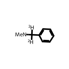 [2H]C([2H])(NC)c1ccccc1